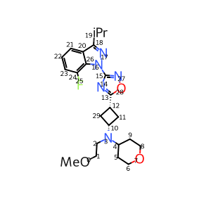 COCCN(C1CCOCC1)[C@H]1C[C@@H](c2nc(-n3nc(C(C)C)c4cccc(F)c43)no2)C1